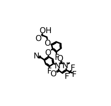 Cn1c(C(F)(F)F)cc(=O)n(-c2cc(Oc3c(F)cccc3OCC(=O)O)c(C#N)cc2F)c1=O